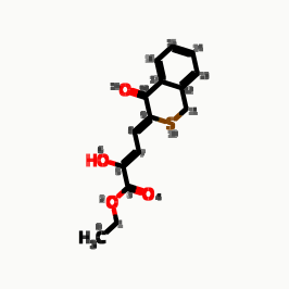 CCOC(=O)C(O)=CC=C1SCc2ccccc2C1=O